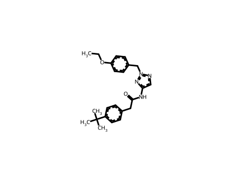 CCOc1ccc(Cn2ncc(NC(=O)Cc3ccc(C(C)(C)C)cc3)n2)cc1